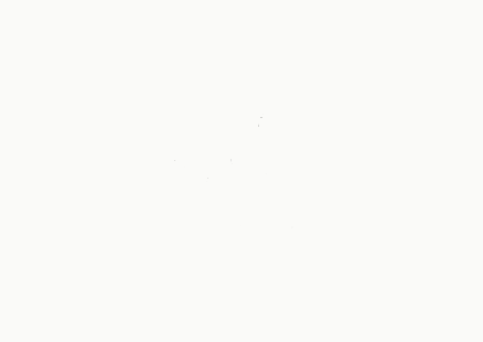 Cc1ccc(I)c(CBr)c1